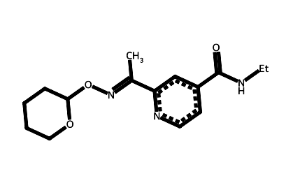 CCNC(=O)c1ccnc(/C(C)=N/OC2CCCCO2)c1